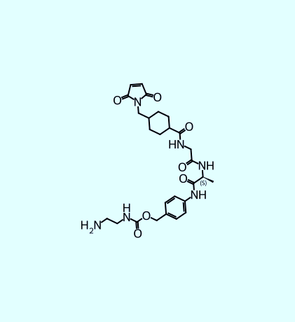 C[C@H](NC(=O)CNC(=O)C1CCC(CN2C(=O)C=CC2=O)CC1)C(=O)Nc1ccc(COC(=O)NCCN)cc1